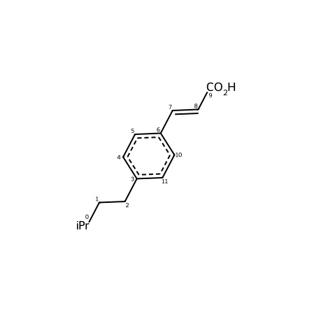 CC(C)CCc1ccc(C=CC(=O)O)cc1